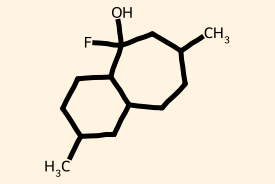 CC1CCC2C(CCC(C)CC2(O)F)C1